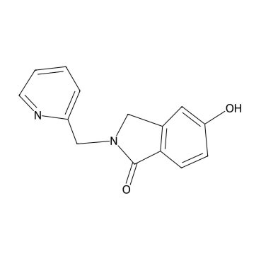 O=C1c2ccc(O)cc2CN1Cc1ccccn1